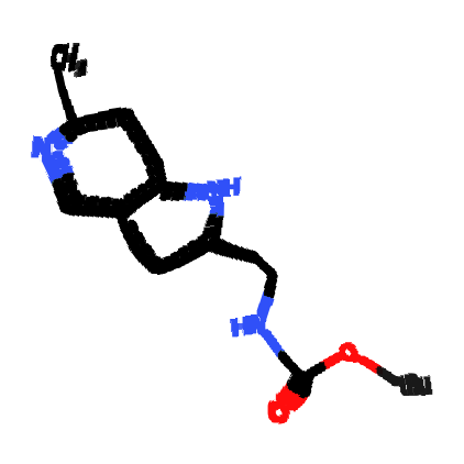 Cc1cc2[nH]c(CNC(=O)OC(C)(C)C)cc2cn1